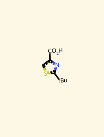 CCC(C)c1nc(C(=O)O)cs1